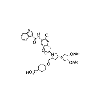 CO[C@H]1CN([C@H]2C[C@@H](CO[C@H]3CC[C@H](C(=O)O)CC3)N(C(=O)Cc3cc(Cl)c(NC(=O)c4csc5ccccc45)cc3Cl)C2)C[C@H]1OC